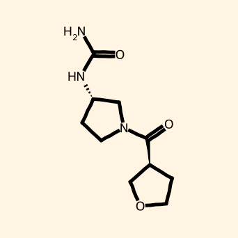 NC(=O)N[C@H]1CCN(C(=O)[C@H]2CCOC2)C1